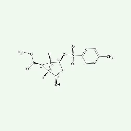 COC(=O)[C@@H]1[C@@H]2[C@H]1[C@@H](OS(=O)(=O)c1ccc(C)cc1)C[C@H]2O